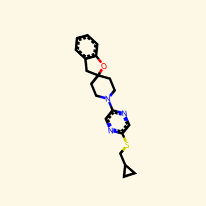 c1ccc2c(c1)CC1(CCN(c3cnc(SCC4CC4)cn3)CC1)O2